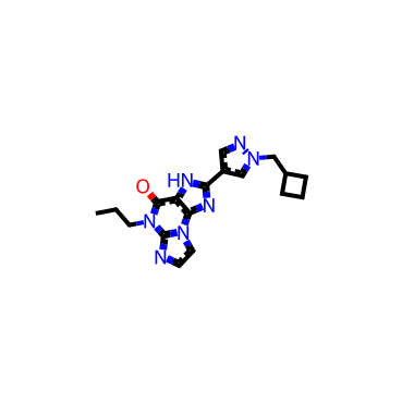 CCCn1c(=O)c2[nH]c(-c3cnn(CC4CCC4)c3)nc2n2ccnc12